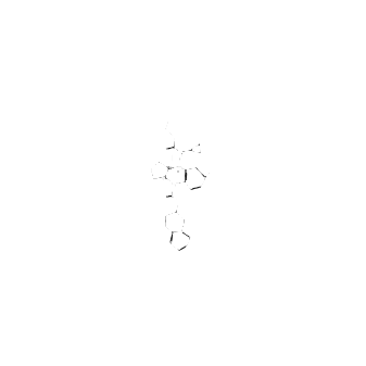 O=C(O)CCC(=O)N(C1CC1)[C@H]1c2cc(F)ccc2N(C(=O)OC2CCc3ccccc3C2)[C@H]2CCC[C@H]21